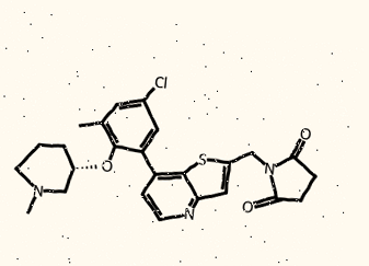 Cc1cc(Cl)cc(-c2ccnc3cc(CN4C(=O)CCC4=O)sc23)c1O[C@H]1CCCN(C)C1